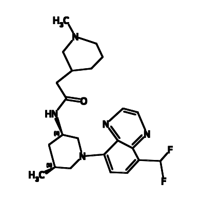 C[C@H]1C[C@@H](NC(=O)CC2CCCN(C)C2)CN(c2ccc(C(F)F)c3nccnc23)C1